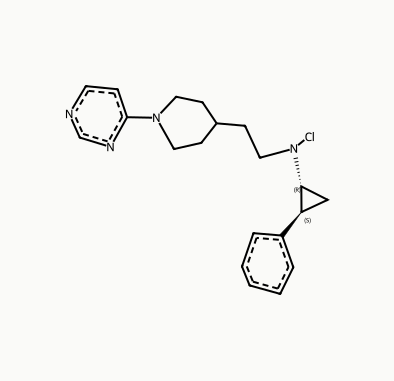 ClN(CCC1CCN(c2ccncn2)CC1)[C@@H]1C[C@H]1c1ccccc1